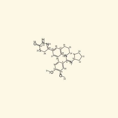 COc1ccc(/C(=N/C2CCCC2)N2CCCc3cc(C4=NNC(=O)SC4)ccc32)cc1OC